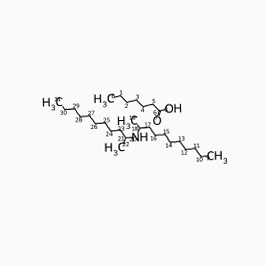 CCCCCCC(=O)O.CCCCCCCCCC(C)NC(C)CCCCCCCCC